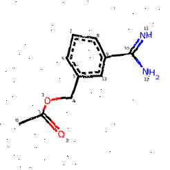 CC(=O)OCc1cccc(C(=N)N)c1